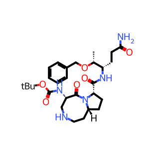 C[C@@H](OCc1ccccc1)[C@H](CCC(N)=O)NC(=O)[C@@H]1CC[C@@H]2CCNC[C@H](NC(=O)OC(C)(C)C)C(=O)N21